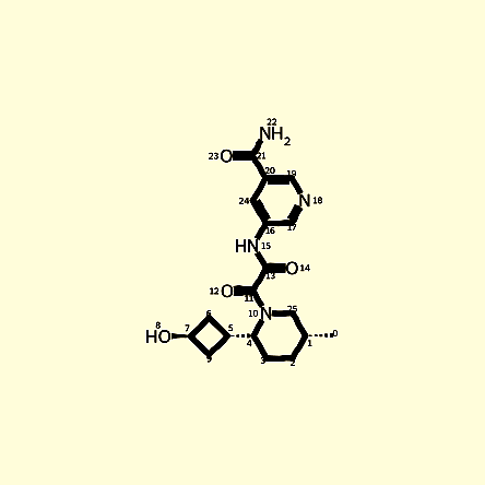 C[C@@H]1CCC([C@H]2C[C@H](O)C2)N(C(=O)C(=O)Nc2cncc(C(N)=O)c2)C1